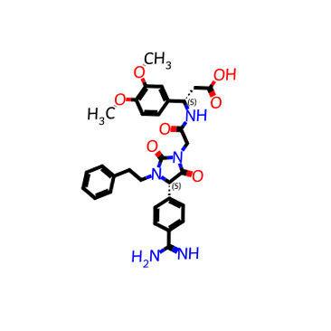 COc1ccc([C@H](CC(=O)O)NC(=O)CN2C(=O)[C@H](c3ccc(C(=N)N)cc3)N(CCc3ccccc3)C2=O)cc1OC